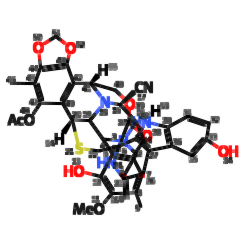 C=CCN1C2c3c(cc(C)c(OC)c3O)C[C@@H]1[C@H](C#N)N1C2[C@@H]2SC[C@]3(NCCc4c3[nH]c3ccc(O)cc43)C(=O)OC[C@H]1c1c3c(c(C)c(OC(C)=O)c12)OCO3